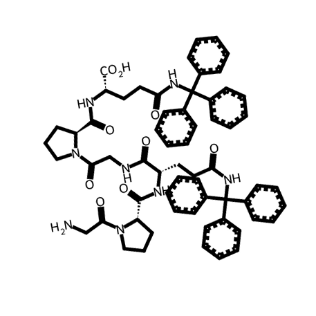 NCC(=O)N1CCC[C@H]1C(=O)N[C@@H](CCC(=O)NC(c1ccccc1)(c1ccccc1)c1ccccc1)C(=O)NCC(=O)N1CCC[C@H]1C(=O)N[C@@H](CCC(=O)NC(c1ccccc1)(c1ccccc1)c1ccccc1)C(=O)O